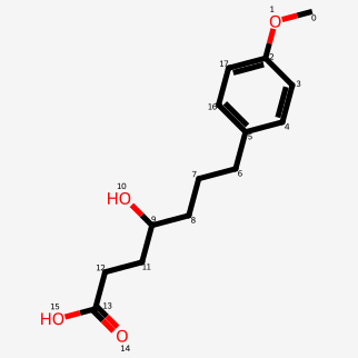 COc1ccc(CCCC(O)CCC(=O)O)cc1